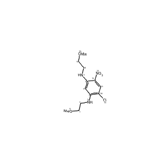 COCCNc1cc(NCCOC)c([N+](=O)[O-])cc1Cl